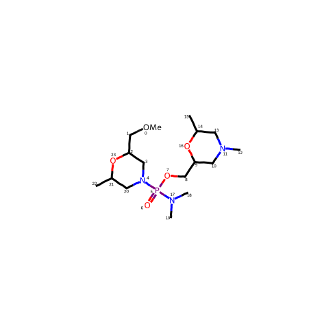 COCC1CN(P(=O)(OCC2CN(C)CC(C)O2)N(C)C)CC(C)O1